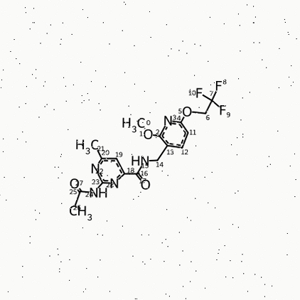 COc1nc(OCC(F)(F)F)ccc1CNC(=O)c1cc(C)nc(NC(C)=O)n1